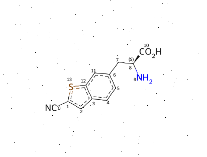 N#Cc1cc2ccc(C[C@H](N)C(=O)O)cc2s1